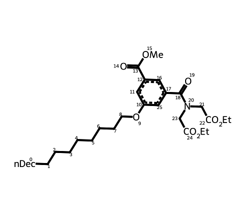 CCCCCCCCCCCCCCCCCCOc1cc(C(=O)OC)cc(C(=O)N(CC(=O)OCC)CC(=O)OCC)c1